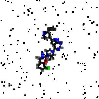 COc1cc(-c2cc3c(N4CCN(C(=O)N[C@@H](C)c5cccc(Cl)c5)C(C)(C)C4)ncnc3[nH]2)ccn1